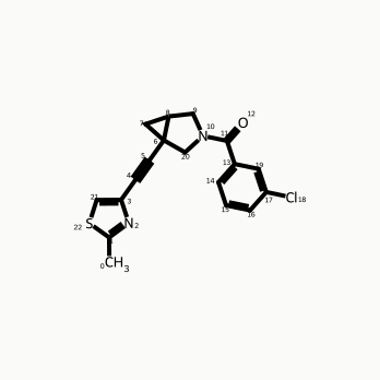 Cc1nc(C#CC23CC2CN(C(=O)c2cccc(Cl)c2)C3)cs1